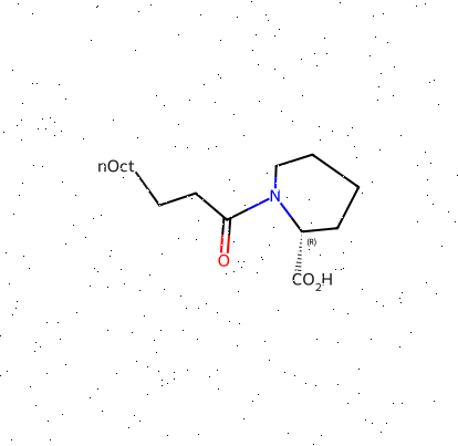 CCCCCCCCCCC(=O)N1CCCC[C@@H]1C(=O)O